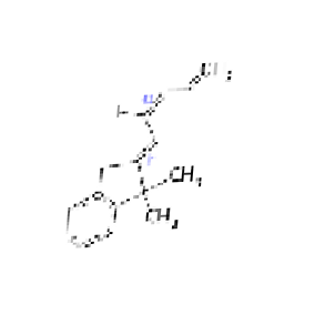 C=C/C=C(I)\C=C1/Cc2ccccc2C1(C)C